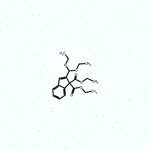 CCOC(=O)C1(C(=O)OCC)C(C(OCC)OCC)=Cc2ccccc21